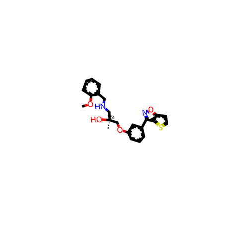 COc1ccccc1CNC[C@](C)(O)COc1cccc(-c2noc3ccsc23)c1